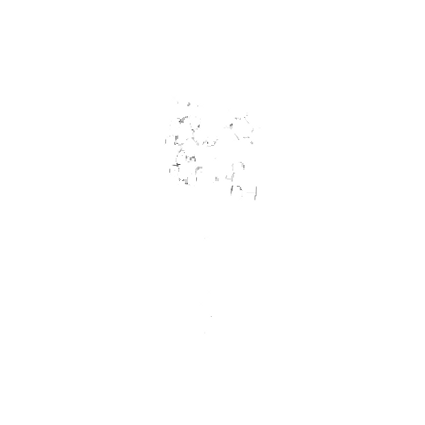 CCCCCCCCCCCCCCC(C[C@H](OC(C)=O)[C@H]1OC(=O)C(OC(=O)C(C)(C)C)=C1OCc1ccccc1)C(=O)O